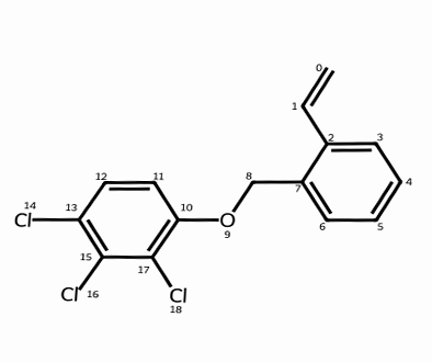 C=Cc1ccccc1COc1ccc(Cl)c(Cl)c1Cl